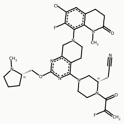 C=C(F)C(=O)N1CCN(c2nc(OC[C@@H]3CCCN3C)nc3c2CCN(c2c(F)c(Cl)cc4c2N(C)C(=O)CC4)C3)C[C@@H]1CC#N